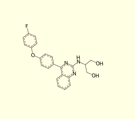 OCC(CO)Nc1nc(-c2ccc(Oc3ccc(F)cc3)cc2)c2ccccc2n1